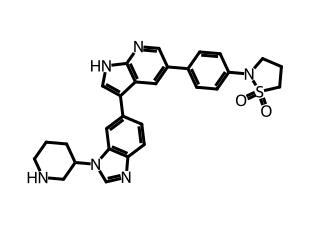 O=S1(=O)CCCN1c1ccc(-c2cnc3[nH]cc(-c4ccc5ncn(C6CCCNC6)c5c4)c3c2)cc1